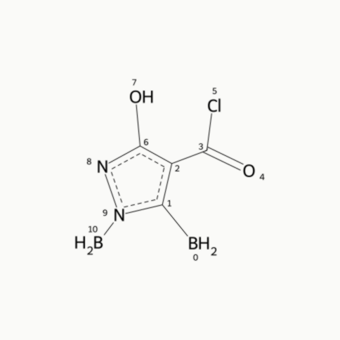 Bc1c(C(=O)Cl)c(O)nn1B